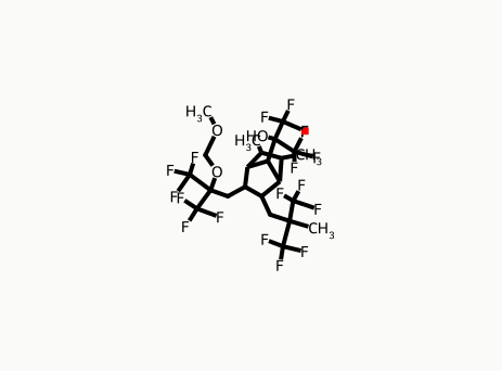 COCOC(CC1C(CC(C)(C(F)(F)F)C(F)(F)F)C2C(C)C(C)C1C2C(O)(C(F)(F)F)C(F)(F)F)(C(F)(F)F)C(F)(F)F